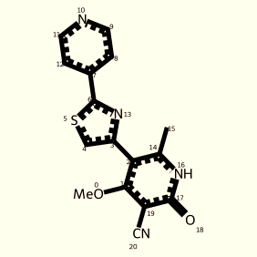 COc1c(-c2csc(-c3ccncc3)n2)c(C)[nH]c(=O)c1C#N